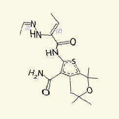 C/C=N\N/C(=C\C)C(=O)Nc1sc2c(c1C(N)=O)CC(C)(C)OC2(C)C